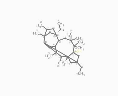 CCC12CC3(C)C(S)(C1)C(C)(C)C(C)(C)CC1C4CC2(C2(C)C[C@@]1(CC)CC2C)C3(C)C4C